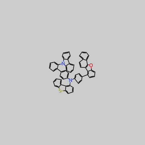 c1ccc(-n2c3ccccc3c3ccccc32)c(-c2ccc(N(c3ccc(-c4cccc5oc6c7ccccc7ccc6c45)cc3)c3cccc4sc5ccccc5c34)cc2)c1